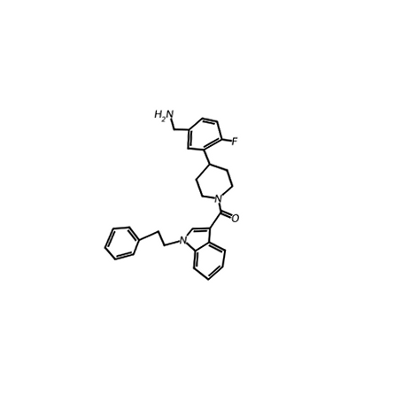 NCc1ccc(F)c(C2CCN(C(=O)c3cn(CCc4ccccc4)c4ccccc34)CC2)c1